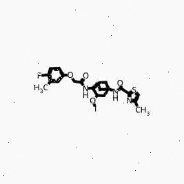 Cc1csc(C(=O)NC23CC(=C(NC(=O)COc4ccc(F)c(C)c4)C(OI)C2)C3)n1